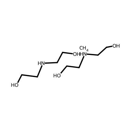 C.OCCNCCO.OCCNCCO